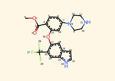 COC(=O)c1ccc(N2CCNCC2)cc1Oc1cc2cc[nH]c2cc1C(F)(F)F